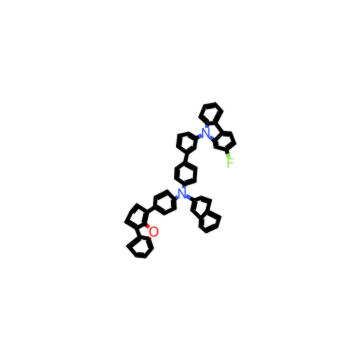 Fc1ccc2c3ccccc3n(-c3cccc(-c4ccc(N(c5ccc(-c6cccc7c6oc6ccccc67)cc5)c5ccc6ccccc6c5)cc4)c3)c2c1